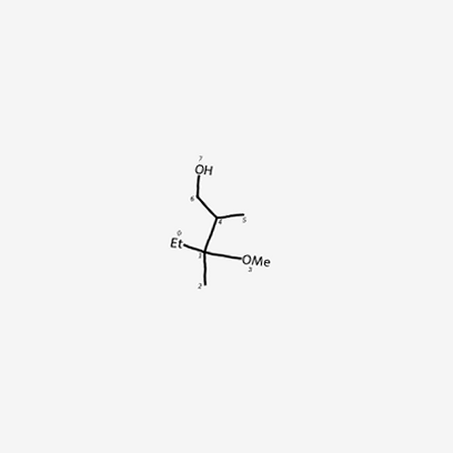 CCC(C)(OC)C(C)CO